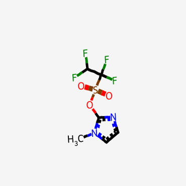 Cn1ccnc1OS(=O)(=O)C(F)(F)C(F)F